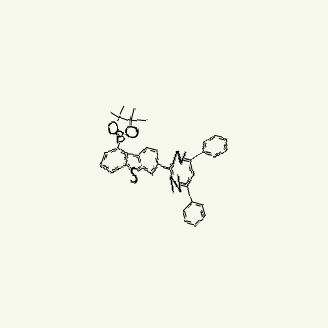 CC1(C)OB(c2cccc3sc4cc(-c5nc(-c6ccccc6)cc(-c6ccccc6)n5)ccc4c23)OC1(C)C